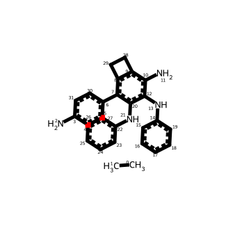 CC.Nc1ccc(-c2c3c(c(N)c(Nc4ccccc4)c2Nc2ccccc2)CC3)cc1